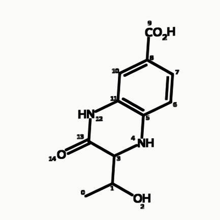 CC(O)C1Nc2ccc(C(=O)O)cc2NC1=O